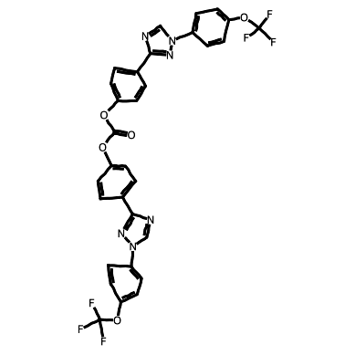 O=C(Oc1ccc(-c2ncn(-c3ccc(OC(F)(F)F)cc3)n2)cc1)Oc1ccc(-c2ncn(-c3ccc(OC(F)(F)F)cc3)n2)cc1